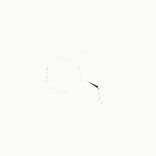 Cl.NC(=O)[C@H]1COCCO1